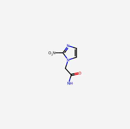 [NH]C(=O)Cn1ccnc1[N+](=O)[O-]